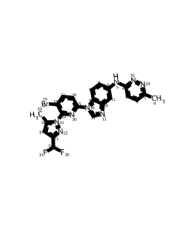 Cc1ccc(Nc2ccc3c(c2)ncn3-c2ccc(Br)c(-n3nc(C(F)F)cc3C)n2)nn1